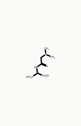 CCOC(=O)C(NC(=O)CN(C)C)C(=O)OCC